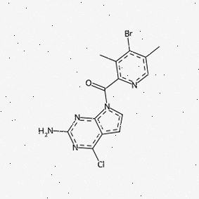 Cc1cnc(C(=O)n2ccc3c(Cl)nc(N)nc32)c(C)c1Br